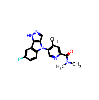 Cc1cc(C(=O)N(C)C)ncc1-n1c2ccc(F)cc2c2[nH]ncc21